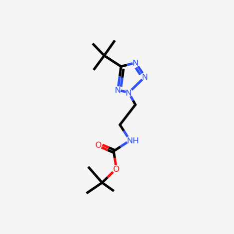 CC(C)(C)OC(=O)NCCn1nnc(C(C)(C)C)n1